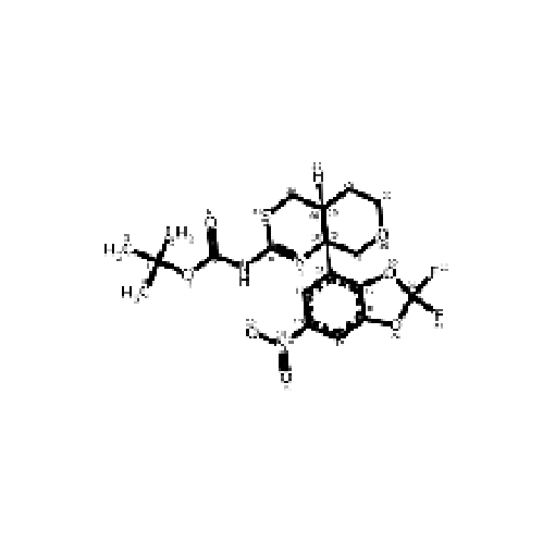 CC(C)(C)OC(=O)NC1=N[C@@]2(c3cc([N+](=O)[O-])cc4c3OC(F)(F)O4)COCC[C@H]2CS1